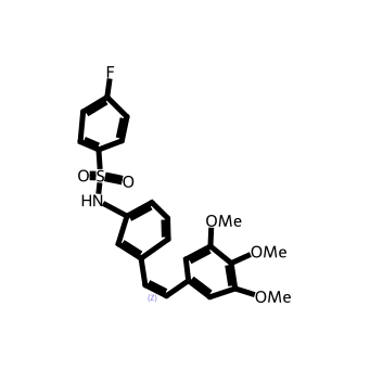 COc1cc(/C=C\c2cccc(NS(=O)(=O)c3ccc(F)cc3)c2)cc(OC)c1OC